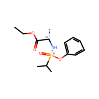 CCOC(=O)[C@H](C)N[P@](=O)(Oc1ccccc1)C(C)C